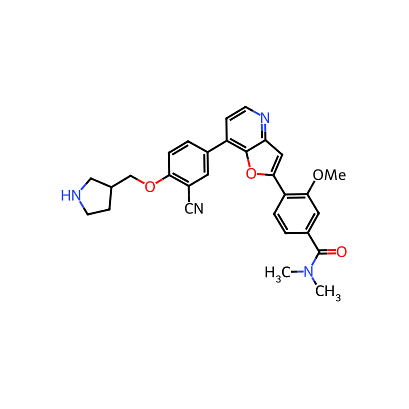 COc1cc(C(=O)N(C)C)ccc1-c1cc2nccc(-c3ccc(OCC4CCNC4)c(C#N)c3)c2o1